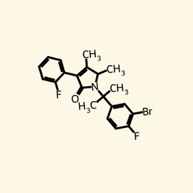 CC1=C(c2ccccc2F)C(=O)N(C(C)(C)c2ccc(F)c(Br)c2)C1C